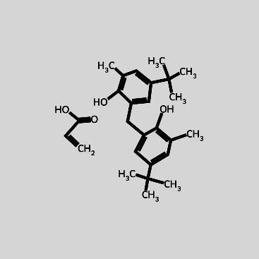 C=CC(=O)O.Cc1cc(C(C)(C)C)cc(Cc2cc(C(C)(C)C)cc(C)c2O)c1O